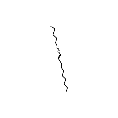 [CH2]CCCCCC/C=C/CCCCCCCC